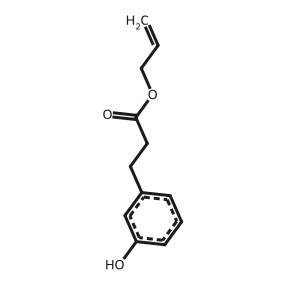 C=CCOC(=O)CCc1cccc(O)c1